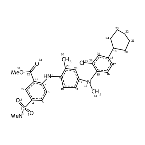 CNS(=O)(=O)c1ccc(Nc2ccc(N(C)c3ccc(C4CCCCC4)cc3Cl)cc2C)c(C(=O)OC)c1